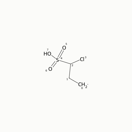 [CH2]CC(Cl)S(=O)(=O)O